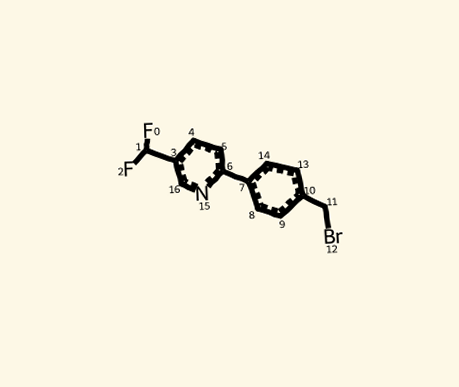 FC(F)c1ccc(-c2ccc(CBr)cc2)nc1